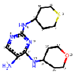 Nc1cnc(NC2CCSCC2)nc1NC1CCOCC1